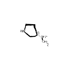 [CH2-][OH+][C@H]1CCNC1